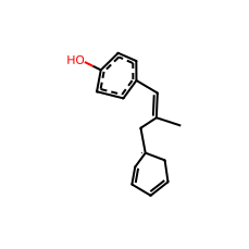 CC(=Cc1ccc(O)cc1)C[C]1C=CC=CC1